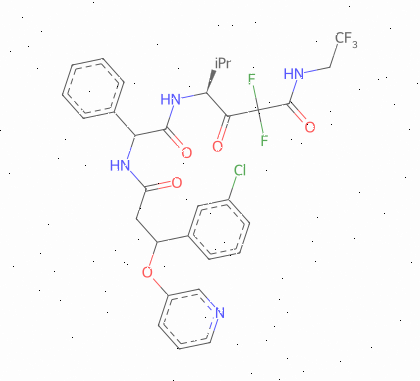 CC(C)[C@H](NC(=O)C(NC(=O)CC(Oc1cccnc1)c1cccc(Cl)c1)c1ccccc1)C(=O)C(F)(F)C(=O)NCC(F)(F)F